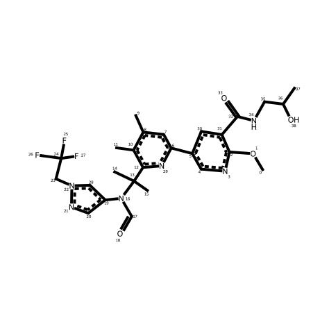 COc1ncc(-c2cc(C)c(C)c(C(C)(C)N(C=O)c3cnn(CC(F)(F)F)c3)n2)cc1C(=O)NCC(C)O